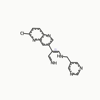 N=C/C(=C\NCc1cncnc1)c1cnc2ccc(Cl)nc2c1